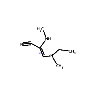 CCN(C)/C=C(/C#N)NC